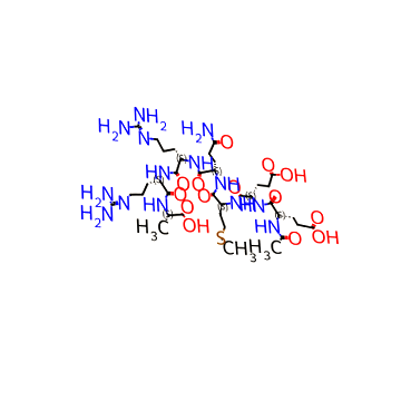 CSCC[C@H](NC(=O)[C@H](CCC(=O)O)NC(=O)[C@H](CCC(=O)O)NC(C)=O)C(=O)N[C@@H](CCC(N)=O)C(=O)N[C@@H](CCCN=C(N)N)C(=O)N[C@@H](CCCN=C(N)N)C(=O)N[C@@H](C)C(=O)O